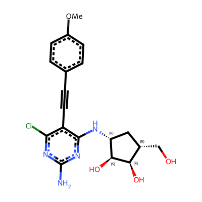 COc1ccc(C#Cc2c(Cl)nc(N)nc2N[C@@H]2C[C@H](CO)[C@@H](O)[C@H]2O)cc1